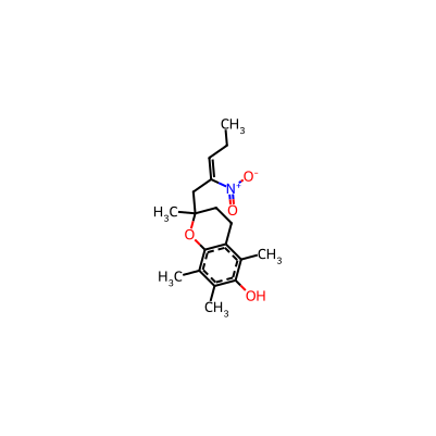 CC/C=C(/CC1(C)CCc2c(C)c(O)c(C)c(C)c2O1)[N+](=O)[O-]